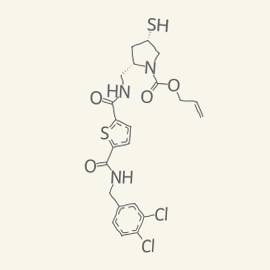 C=CCOC(=O)N1C[C@@H](S)C[C@H]1CNC(=O)c1ccc(C(=O)NCc2ccc(Cl)c(Cl)c2)s1